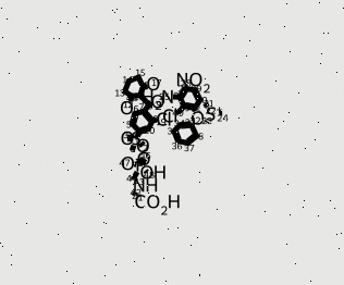 CS(=O)(=O)c1ccc(C(=O)C2C(=O)CCCC2=O)c(Cl)c1.C[S+](C)C.Nc1c([N+](=O)[O-])ccc(Oc2ccccc2)c1Cl.O=C(O)CNCP(=O)([O-])O